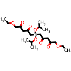 CCOCC(=O)CC(=O)[CH2][Ti]([CH2]C(=O)CC(=O)COCC)([O]C(C)C)[O]C(C)C